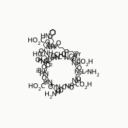 CCC(C)C1NC(=O)C(CCC(=O)O)NC(=O)C(CC(N)=O)NC(=O)CNC(=O)C(CC(=O)O)NC(=O)C(CCCCN)NC(=O)C(CC(=O)O)NC(=O)C(C)NC(=O)CN(C)C(=O)C(NC(=O)C(NC(=O)C(CCC(=O)O)NC(=O)C(Cc2c[nH]c3ccccc23)NC(=O)CCCCCCC(C)C)C(O)C(N)=O)C(C)OC1=O